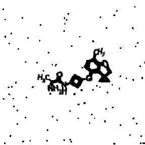 Cc1ccc(O[C@H]2C[C@H](NC(=O)[C@@H](C)N)C2)c2c1OCC21CC1